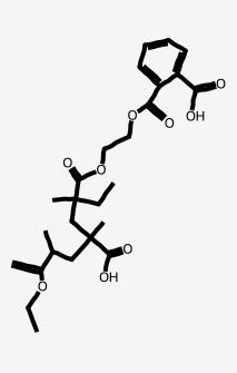 C=C(OCC)C(C)CC(C)(CC(C)(CC)C(=O)OCCOC(=O)c1ccccc1C(=O)O)C(=O)O